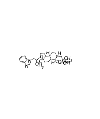 COC[C@]12CC[C@@](C)(O)C[C@H]1CC[C@H]1[C@@H]3CC[C@H](C(=O)Cn4cnc5ccccc54)[C@@]3(C)CC[C@@H]12